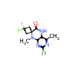 Cc1nc(Cl)nc2c1NC(=O)C1(CC(F)(F)C1)N2C